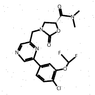 CN(C)C(=O)[C@H]1CN(Cc2cncc(-c3ccc(Cl)c(OC(F)F)c3)n2)C(=O)O1